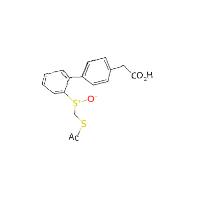 CC(=O)SC[S+]([O-])c1ccccc1-c1ccc(CC(=O)O)cc1